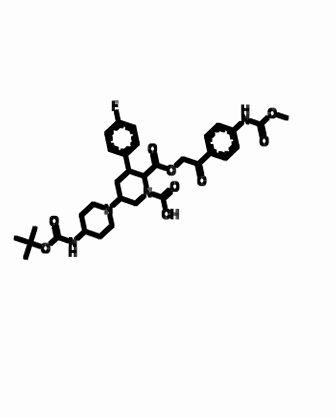 COC(=O)Nc1ccc(C(=O)COC(=O)C2C(c3ccc(F)cc3)CC(N3CCC(NC(=O)OC(C)(C)C)CC3)CN2C(=O)O)cc1